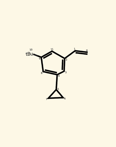 C=[C]c1cc(C2CC2)cc(C(C)(C)C)c1